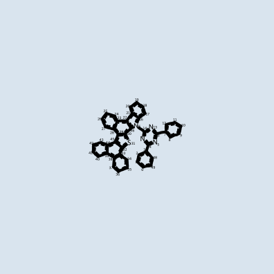 c1ccc(-c2nc(-c3ccccc3)nc(-n3c4ccccc4c4c5ccccc5c5c(sc6c7ccccc7c7ccccc7c65)c43)n2)cc1